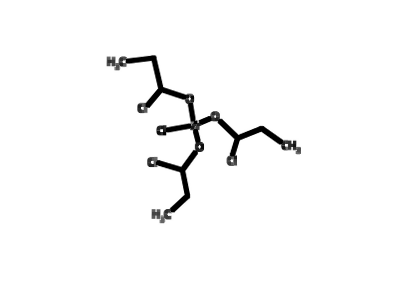 CCC(Cl)[O][Zr]([Cl])([O]C(Cl)CC)[O]C(Cl)CC